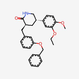 CCOc1cc([C@H]2CNC(=O)[C@H](Cc3cccc(OCc4ccccc4)c3)C2)ccc1OC